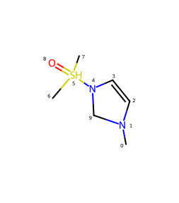 CN1C=CN([SH](C)(C)=O)C1